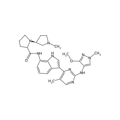 COc1nn(C)cc1Nc1ncc(C)c(-c2c[nH]c3c(NC(=O)C4CCCN4[C@H]4CCN(C)C4)cccc23)n1